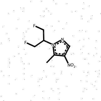 Cc1c([N+](=O)[O-])cnn1C(CF)CF